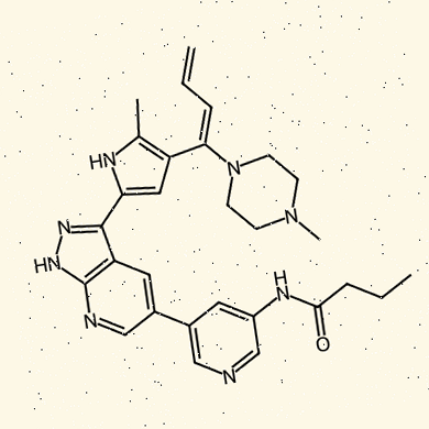 C=C/C=C(\c1cc(-c2n[nH]c3ncc(-c4cncc(NC(=O)CCC)c4)cc23)[nH]c1C)N1CCN(C)CC1